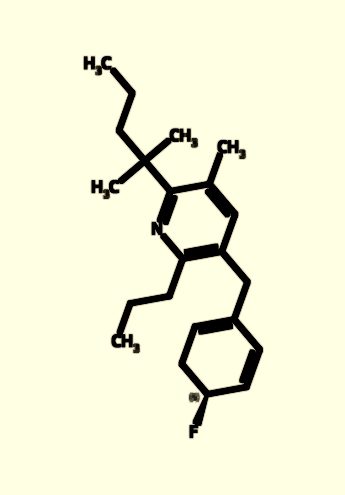 CCCc1nc(C(C)(C)CCC)c(C)cc1CC1=CC[C@H](F)C=C1